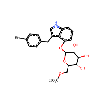 CCOC(=O)OC[C@H]1O[C@@H](Oc2cccc3[nH]cc(Cc4ccc(CC)cc4)c23)[C@H](O)[C@@H](O)[C@@H]1O